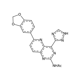 CC(=O)Nc1nc(-c2nc[nH]n2)c2nc(-c3ccc4c(c3)OCO4)ccc2n1